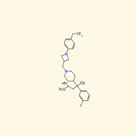 CCC[C@@H](CC(C#N)(c1cccc(F)c1)C1CCN(CC2CN(c3ccc(CC(F)(F)F)cc3)C2)CC1)OC(C)=O